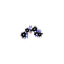 Cc1ccc2nccc(Nc3cccc(C(=O)Nc4cccc(Nc5ccccc5)c4)c3)c2c1